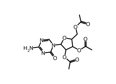 CC(=O)OCC1OC(n2cnc(N)nc2=O)C(OC(C)=O)C1OC(C)=O